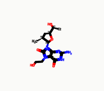 CC[C@H](O)[C@@H]1C[C@@H](C)[C@H](n2c(=O)n(CCO)c3c(=O)[nH]c(N)nc32)O1